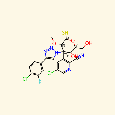 CO[C@@H]1[C@H](S)O[C@@H](CO)[C@@H](O)[C@@]1(c1cc(Cl)cnc1C#N)n1cc(-c2ccc(Cl)c(F)c2)nn1